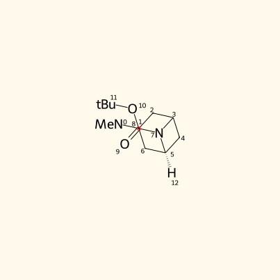 CNC1CC2C[C@@H](C1)N2C(=O)OC(C)(C)C